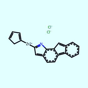 C1=CC[C]([Zr+2][C]2=Nc3c4c(ccc3=C2)=c2ccccc2=C4)=C1.[Cl-].[Cl-]